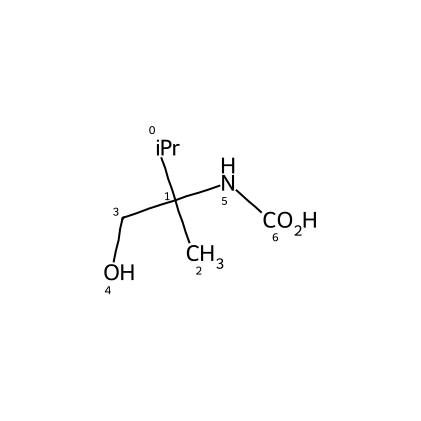 CC(C)C(C)(CO)NC(=O)O